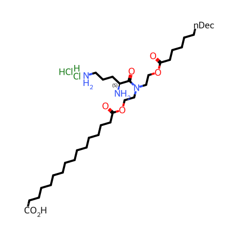 CCCCCCCCCCCCCCCC(=O)OCCN(CCOC(=O)CCCCCCCCCCCCCCC(=O)O)C(=O)[C@@H](N)CCCN.Cl.Cl